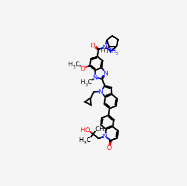 COc1cc(C(=O)N2CC3CCC2[C@@H]3N)cc2nc(-c3cc4ccc(-c5ccc6c(ccc(=O)n6CC(C)(C)O)c5)cc4n3CC3CC3)n(C)c12